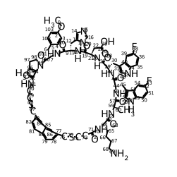 COc1ccc(C[C@@H]2NC(=O)[C@H](Cc3cnc[nH]3)NC(=O)[C@@H](CC(=O)O)NC(=O)[C@H](Cc3c[nH]c4ccc(F)cc34)NC(=O)[C@H](Cc3c[nH]c4ccc(F)cc34)NC(=O)[C@@H](C)NC(=O)[C@H](CCCCN)NC(=O)CCSCc3ccc4ccc(cc4c3)CSCCNC(=O)[C@]3(C)CCCN3C2=O)cc1